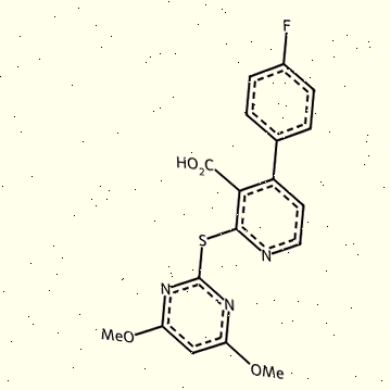 COc1cc(OC)nc(Sc2nccc(-c3ccc(F)cc3)c2C(=O)O)n1